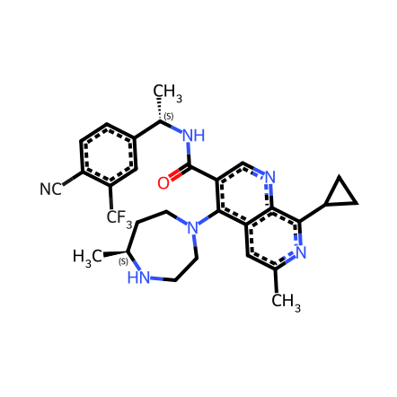 Cc1cc2c(N3CCN[C@@H](C)CC3)c(C(=O)N[C@@H](C)c3ccc(C#N)c(C(F)(F)F)c3)cnc2c(C2CC2)n1